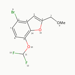 COCc1cc2c(Br)ccc(OC(F)F)c2o1